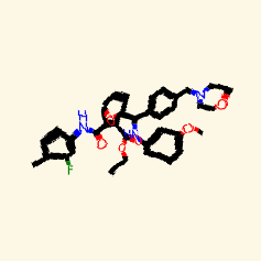 CCOC(=O)C1=C(C(=O)Nc2ccc(C)c(F)c2)C2C=CC1(C(Nc1cccc(OC)c1)c1ccc(CN3CCOCC3)cc1)O2